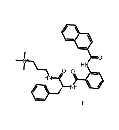 C[N+](C)(C)CCCNC(=O)[C@H](Cc1ccccc1)NC(=O)c1ccccc1NC(=O)c1ccc2ccccc2c1.[I-]